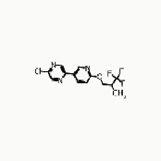 CC(COc1ccc(-c2cnc(Cl)cn2)cn1)C(F)(F)F